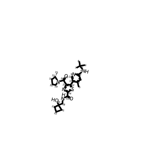 Cc1cc(NC(C)(C)C)ncc1-c1sc(C(=O)NCC2(O)CCC2)nc1C(=O)N1CCC[C@@H]1C